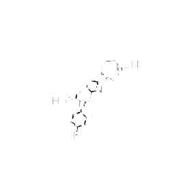 CC(=O)N(Cc1csc(N2CCCN(C)CC2)n1)c1ccc(F)cc1